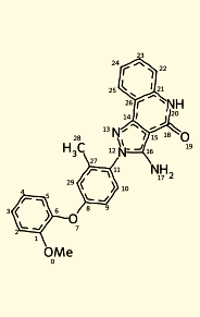 COc1ccccc1Oc1ccc(-n2nc3c(c2N)c(=O)[nH]c2ccccc23)c(C)c1